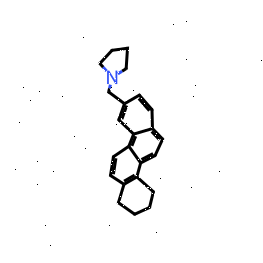 c1cc2ccc3c4c(ccc3c2cc1CN1CCCC1)CCCC4